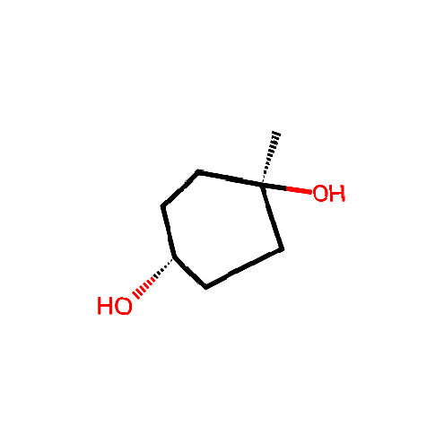 C[C@]1(O)CC[C@H](O)CC1